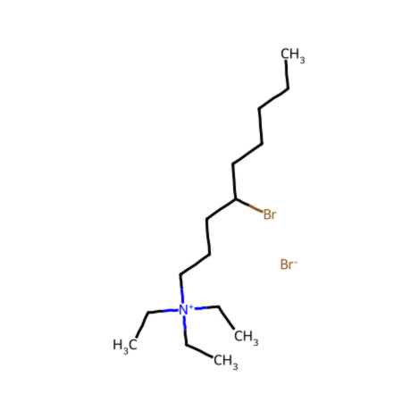 CCCCCC(Br)CCC[N+](CC)(CC)CC.[Br-]